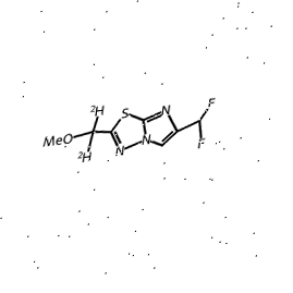 [2H]C([2H])(OC)c1nn2cc(C(F)F)nc2s1